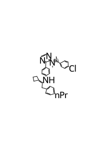 CCCc1ccc(CC(Nc2ccc(-c3nccnc3N(C)[C@@H](C)c3ccc(Cl)cc3)cc2)=C2CCC2)cc1